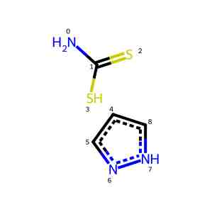 NC(=S)S.c1cn[nH]c1